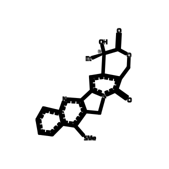 CC[C@@]1(O)C(=O)OCc2c1cc1n(c2=O)Cc2c-1nc1ccccc1c2SC